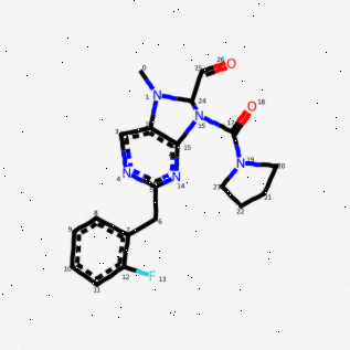 CN1c2cnc(Cc3ccccc3F)nc2N(C(=O)N2CCCC2)C1C=O